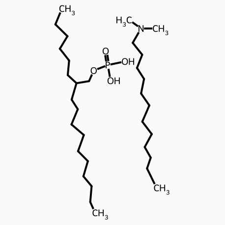 CCCCCCCCCCC(CCCCCC)COP(=O)(O)O.CCCCCCCCCCCCN(C)C